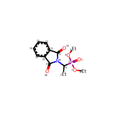 CCOP(=O)(OCC)C(CC)N1C(=O)c2ccccc2C1=O